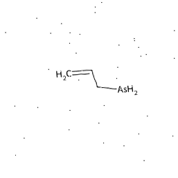 C=CC[AsH2]